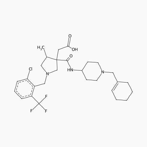 CC1CN(Cc2c(Cl)cccc2C(F)(F)F)CC1(CC(=O)O)C(=O)NC1CCN(CC2=CCCCC2)CC1